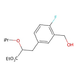 CCOC(=O)C(Cc1ccc(F)c(CO)c1)OC(C)C